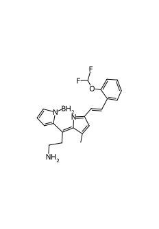 Bn1cccc1/C(CCN)=C1N=C(/C=C/c2ccccc2OC(F)F)C=C\1C